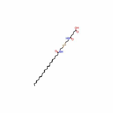 CCC=CCC=CCC=CCC=CCC=CCCCC(=O)NCCSSCCNC(=O)CCCC(=O)O